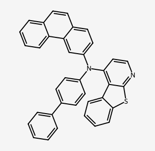 c1ccc(-c2ccc(N(c3ccc4ccc5ccccc5c4c3)c3ccnc4sc5ccccc5c34)cc2)cc1